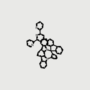 c1ccc(-c2cc(-c3ccc4c(c3)C3(c5ccccc5-4)c4ccccc4-n4c5ccccc5c5ccc6c7ccccc7n3c6c54)cc(-c3ccccn3)n2)nc1